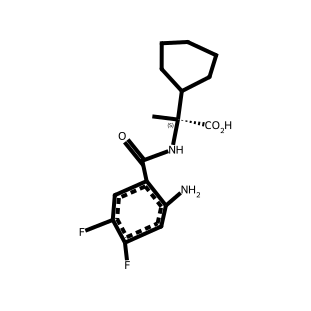 C[C@@](NC(=O)c1cc(F)c(F)cc1N)(C(=O)O)C1CCCCC1